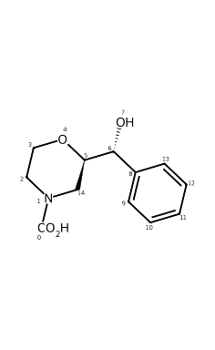 O=C(O)N1CCO[C@@H]([C@H](O)c2ccccc2)C1